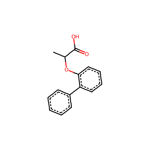 CC(Oc1ccccc1-c1ccccc1)C(=O)O